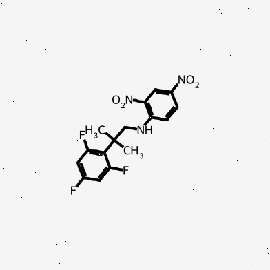 CC(C)(CNc1ccc([N+](=O)[O-])cc1[N+](=O)[O-])c1c(F)cc(F)cc1F